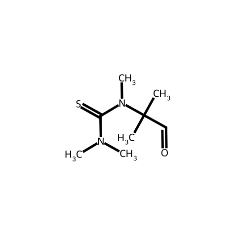 CN(C)C(=S)N(C)C(C)(C)C=O